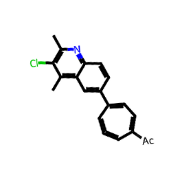 CC(=O)C1=CC=C(c2ccc3nc(C)c(Cl)c(C)c3c2)C=C=C1